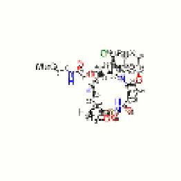 COCCNC(=O)CO[C@H]1/C=C/C[C@H](C)[C@@H](C)S(=O)(=O)NC(=O)c2ccc3c(c2)N(C[C@@H]2CC[C@H]21)C[C@@]1(CCCc2cc(Cl)ccc21)CO3